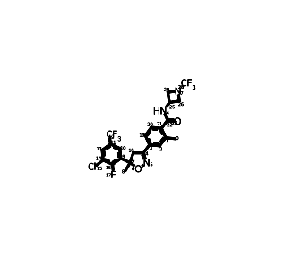 Cc1cc(C2=NOC(C)(c3cc(C(F)(F)F)cc(Cl)c3F)C2)ccc1C(=O)NC1CN(C(F)(F)F)C1